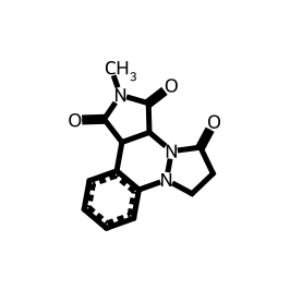 CN1C(=O)C2c3ccccc3N3CCC(=O)N3C2C1=O